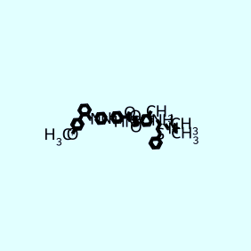 COc1ccc(C2=C(CN3CCN(c4ccc(C(=O)NS(=O)(=O)c5ccc(N[C@H](CCN(C)C)CSc6ccccc6)c(C)c5)cc4)CC3)CCCC2)cc1